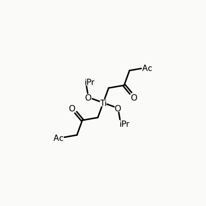 CC(=O)CC(=O)[CH2][Ti]([CH2]C(=O)CC(C)=O)([O]C(C)C)[O]C(C)C